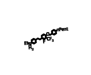 CCCCCc1ccc(COc2ccc(CCc3ccc([SiH2]CC)cc3)c(F)c2C(F)(F)F)cc1